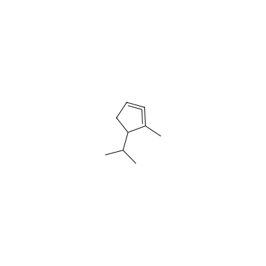 CC1=C=CCC1C(C)C